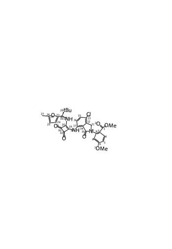 COC(=O)c1ccc(OC)cc1N1Cc2c(Cl)ccc(Nc3c(N[C@@H](c4ccc(C)o4)C(C)(C)C)c(=O)c3=O)c2C1=O